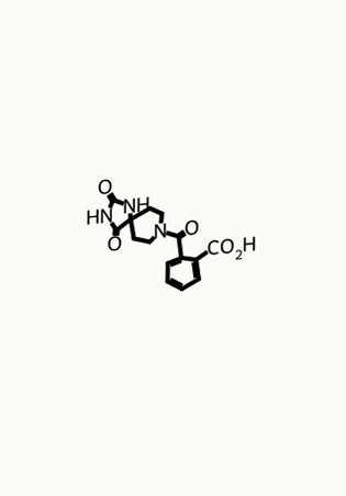 O=C1NC(=O)C2(CCN(C(=O)c3ccccc3C(=O)O)CC2)N1